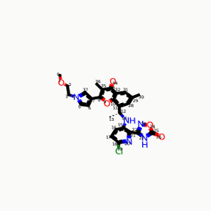 COCCn1ccc(-c2oc3c([C@@H](C)Nc4ccc(Cl)nc4-c4noc(=O)[nH]4)cc(C)cc3c(=O)c2C)c1